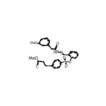 COC(=O)CCc1ccc(S(=O)(=O)Oc2ccccc2/C=N/NC(=O)Cc2cccc(OC)c2)cc1